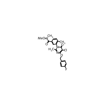 CON(C)C(=O)c1ccc(C)c(-n2c(C)nc(OCc3ccc(F)cc3)c(Cl)c2=O)c1